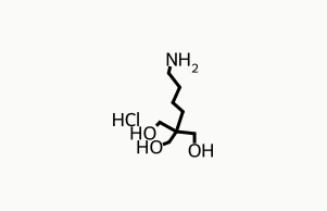 Cl.NCCCCC(CO)(CO)CO